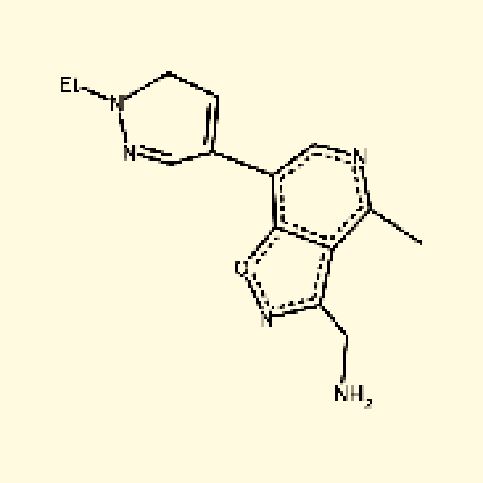 CCN1CC=C(c2cnc(C)c3c(CN)noc23)C=N1